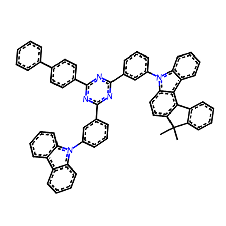 CC1(C)c2ccccc2-c2c1ccc1c2c2ccccc2n1-c1cccc(-c2nc(-c3ccc(-c4ccccc4)cc3)nc(-c3cccc(-n4c5ccccc5c5ccccc54)c3)n2)c1